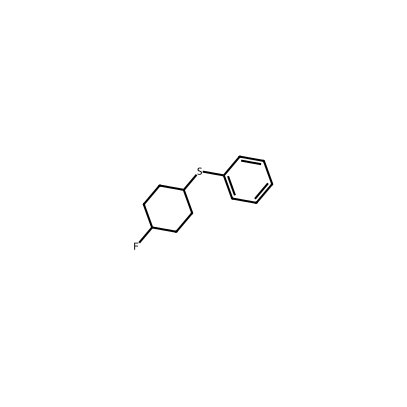 FC1CCC(Sc2ccccc2)CC1